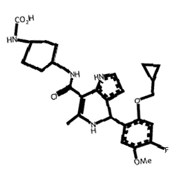 COc1cc(C2NC(C)=C(C(=O)NC3CCC(NC(=O)O)CC3)c3[nH]ccc32)c(OCC2CC2)cc1F